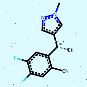 CC[C@@H](c1cnn(C)c1)c1cc(F)c(F)cc1C#N